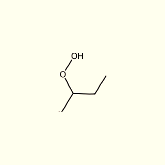 [CH2]C(CC)OO